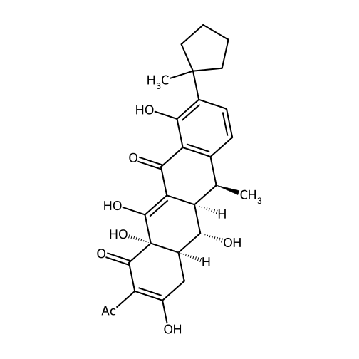 CC(=O)C1=C(O)C[C@@H]2[C@@H](O)[C@H]3C(=C(O)[C@]2(O)C1=O)C(=O)c1c(ccc(C2(C)CCCC2)c1O)[C@H]3C